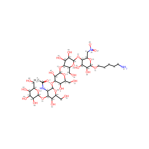 CC(=O)NC1C(OC2C(O)C(CO)OC(OC3C(CO)OC(OC4C(C[N+](=O)[O-])OC(OCCCCCN)C(O)C4O)C(O)C3O)C2O)OC(CO)C(O)C1OC1OC(CO)C(O)C(O)C1O